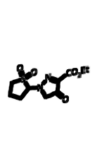 CCOC(=O)C1=NN(C2CCCS2(=O)=O)CC1=O